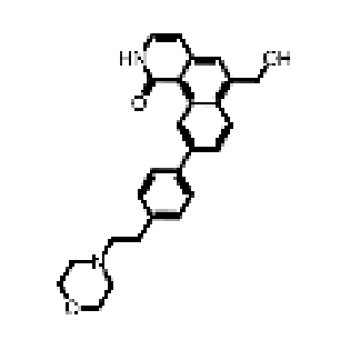 O=c1[nH]ccc2cc(CO)c3ccc(-c4ccc(CCN5CCOCC5)cc4)cc3c12